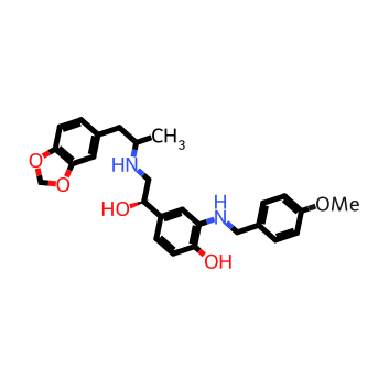 COc1ccc(CNc2cc([C@@H](O)CNC(C)Cc3ccc4c(c3)OCO4)ccc2O)cc1